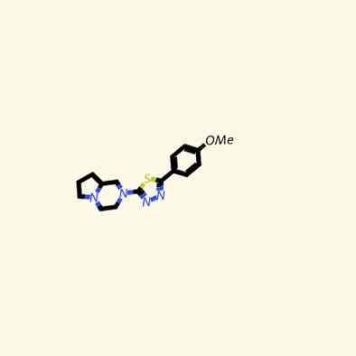 COc1ccc(-c2nnc(N3CCN4CCCC4C3)s2)cc1